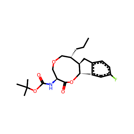 CCC[C@H]1COC[C@H](NC(=O)OC(C)(C)C)C(=O)O[C@@H](C)[C@@H]1Cc1ccc(F)cc1